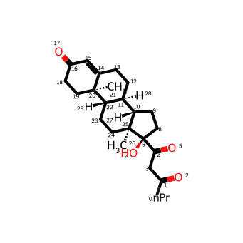 CCCC(=O)CC(=O)[C@@]1(O)CC[C@H]2[C@@H]3CCC4=CC(=O)CC[C@]4(C)[C@H]3CC[C@@]21C